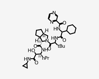 CCC[C@H](NC(=O)[C@@H]1[C@H]2CCC[C@H]2CN1C(=O)C(NC(=O)C(NC(=O)c1cnccn1)C1CCCCC1)C(C)(C)C)C(O)C(=O)NC1CC1